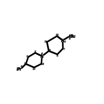 CC(C)C1CCN(C2CCN(C(C)(C)C)CC2)CC1